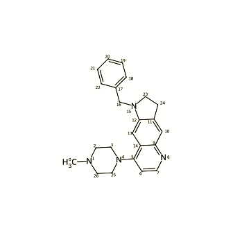 CN1CCN(c2ccnc3cc4c(cc23)N(Cc2ccccc2)CC4)CC1